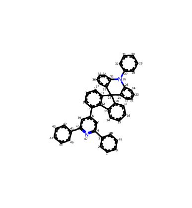 c1ccc(-c2cc(-c3cccc4c3-c3ccccc3C43c4ccccc4N(c4ccccc4)c4ccccc43)cc(-c3ccccc3)n2)cc1